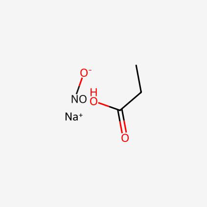 CCC(=O)O.O=N[O-].[Na+]